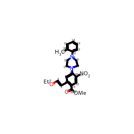 CCOC=Cc1cc(N2CCN(c3ccccc3C)CC2)c([N+](=O)[O-])cc1C(=O)OC